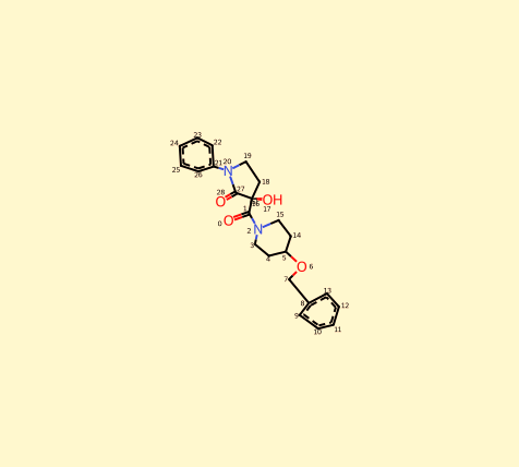 O=C(N1CCC(OCc2ccccc2)CC1)[C@@]1(O)CCN(c2ccccc2)C1=O